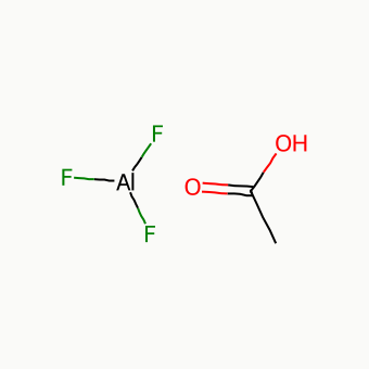 CC(=O)O.[F][Al]([F])[F]